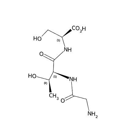 C[C@@H](O)[C@H](NC(=O)CN)C(=O)N[C@@H](CO)C(=O)O